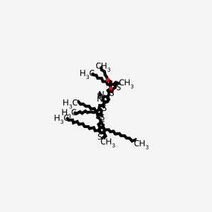 CCCCCCCCCCCCc1c2cc(-c3cc4c(s3)-c3sc(-c5ccc(-c6cc7c(s6)-c6sc(C)cc6C7(CCCCCCCC)CCCCCCCC)c6nsnc56)cc3C4(CCCCCCCC)CCCCCCCC)sc2c(CCCCCCCCCCCC)c2cc(C)sc12